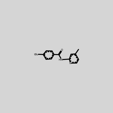 Cc1ccnc(NC(=O)c2ccc(C(C)(C)C)cc2)c1